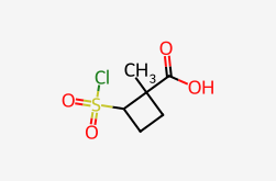 CC1(C(=O)O)CCC1S(=O)(=O)Cl